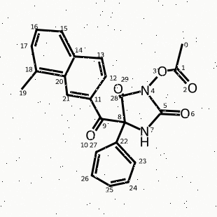 CC(=O)ON1C(=O)NC(C(=O)c2ccc3cccc(C)c3c2)(c2ccccc2)C1=O